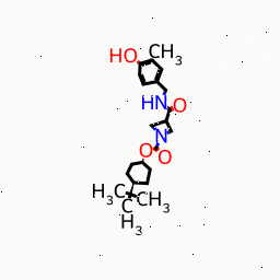 Cc1cc(CNC(=O)C2CN(C(=O)O[C@H]3CC[C@H](C(C)(C)C)CC3)C2)ccc1O